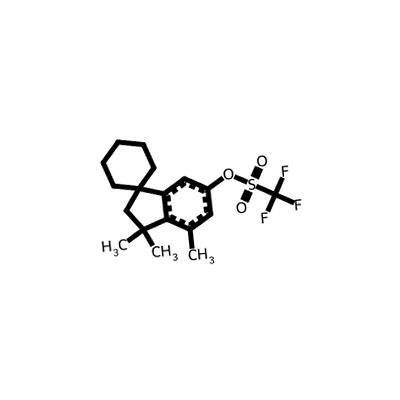 Cc1cc(OS(=O)(=O)C(F)(F)F)cc2c1C(C)(C)CC21CCCCC1